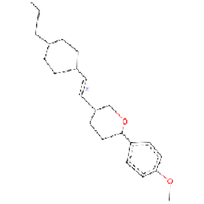 CCCC1CCC(/C=C/C2CCC(c3ccc(OC)cc3)OC2)CC1